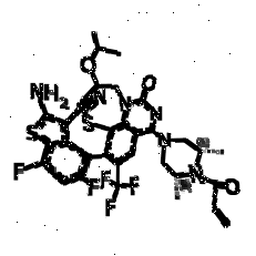 C=CC(=O)N1[C@H](C)CN(c2nc(=O)n3c4c(c(-c5c(F)cc(F)c6sc(N)c(C#N)c56)c(C(F)(F)F)cc24)SCC(OC(C)C)C3)C[C@@H]1C